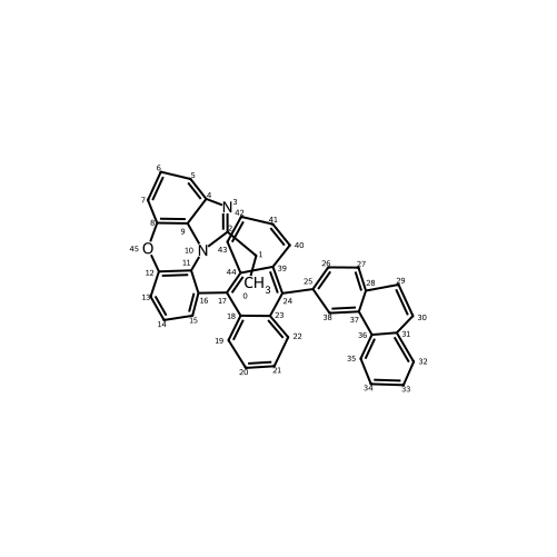 CCc1nc2cccc3c2n1-c1c(cccc1-c1c2ccccc2c(-c2ccc4ccc5ccccc5c4c2)c2ccccc12)O3